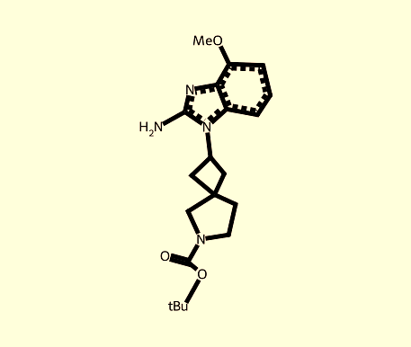 COc1cccc2c1nc(N)n2C1CC2(CCN(C(=O)OC(C)(C)C)C2)C1